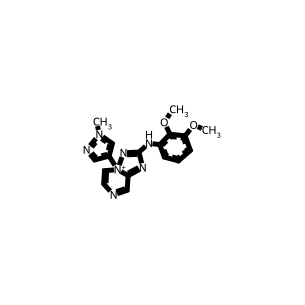 COc1cccc(NC2=N[N+]3(c4cnn(C)c4)C=CN=CC3=N2)c1OC